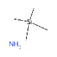 C[Si](C)(C)C.N